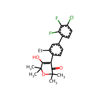 CCc1cc(-c2ccc(Cl)c(F)c2F)ccc1C1=C(O)C(C)(C)OC(C)(C)C1=O